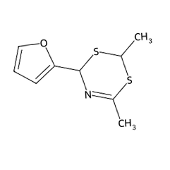 CC1=NC(c2ccco2)SC(C)S1